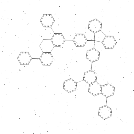 c1ccc(-c2ccnc3c2CCc2c(-c4ccccc4)cc(-c4ccc(C5(c6ccc(-c7cc(-c8ccccc8)c8ccc9c(-c%10ccccc%10)ccnc9c8n7)cc6)c6ccccc6-c6ccccc65)cc4)nc2-3)cc1